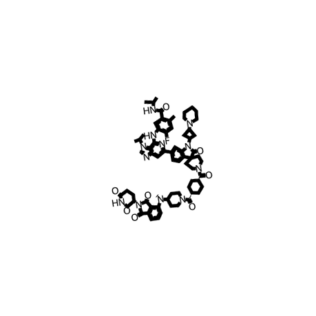 Cc1cc(F)c(Nc2nc(-c3ccc4c(c3)N(C3CC(N5CCCCC5)C3)C(=O)C43CCN(C(=O)[C@H]4CC[C@@H](C(=O)N5CCC(N(C)c6cccc7c6C(=O)N(C6CCC(=O)NC6=O)C7=O)CC5)CC4)CC3)cc3ncn(C(C)C)c23)cc1C(=O)NC(C)C